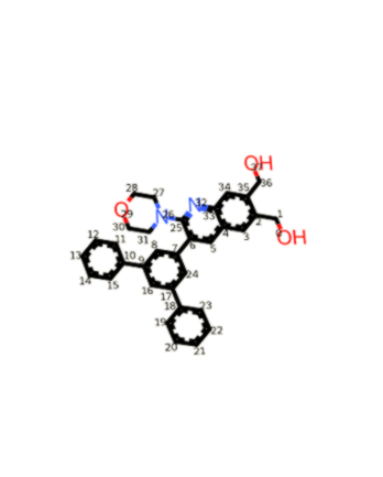 OCc1cc2cc(-c3cc(-c4ccccc4)cc(-c4ccccc4)c3)c(N3CCOCC3)nc2cc1CO